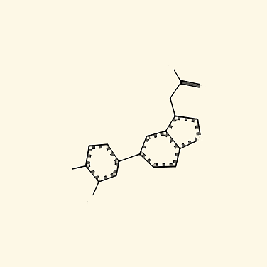 Cc1ccc(-c2ccc3[nH]cc(CC(=O)O)c3c2)cc1C